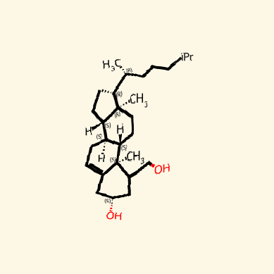 CC(C)CCC[C@@H](C)[C@H]1CC[C@H]2[C@@H]3CC=C4C[C@@H](O)CC(CO)[C@]4(C)[C@H]3CC[C@]12C